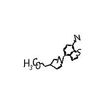 COCCC1CCN(c2ccc(C#N)c3sccc23)C1